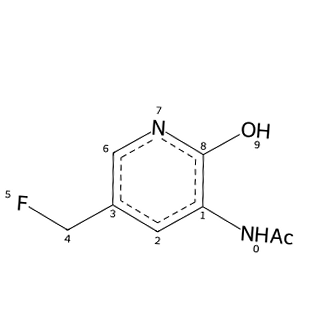 CC(=O)Nc1cc(CF)cnc1O